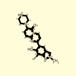 Cn1cc2cc(-c3ccn4c(=O)c(N5CCNCC5)ccc4n3)c(O)c(F)c2n1